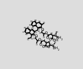 BP(I)C1CC(CC(=O)OC(C)COc2c(Cc3c(OCC(C)OC(=O)CC(B(P)I)C(=O)O)c(C)cc4ccccc34)cc3ccccc3c2CC)C(=O)O1